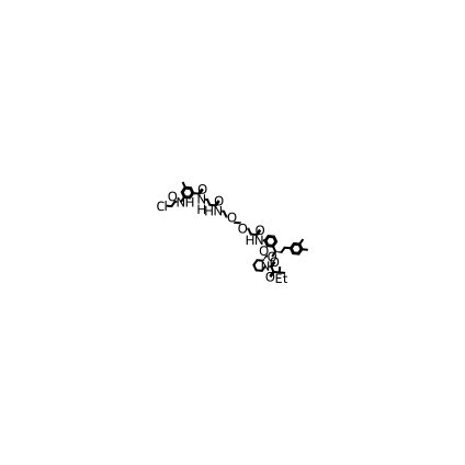 CCC(C)(C)C(=O)C(=O)N1CCCC[C@H]1C(=O)O[C@H](CCc1ccc(C)c(C)c1)c1cccc(NC(=O)CCOCCOCCNC(=O)CCNC(=O)c2cc(C)cc(NC(=O)CCl)c2)c1